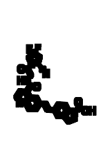 N#C[C@@H]1CC(F)(F)CN1C(=O)CNC(=O)c1ccnc2ccc(/C=C/c3ccc4c(c3)CCN4C(=O)O)cc12